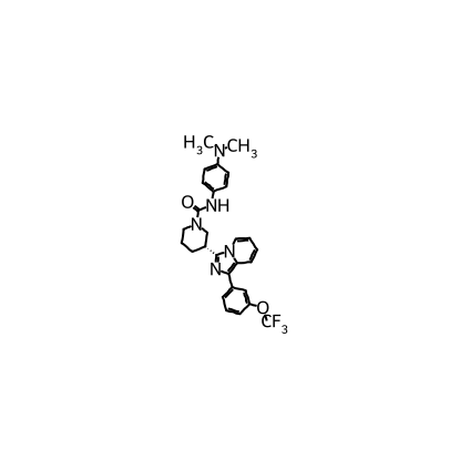 CN(C)c1ccc(NC(=O)N2CCC[C@@H](c3nc(-c4cccc(OC(F)(F)F)c4)c4ccccn34)C2)cc1